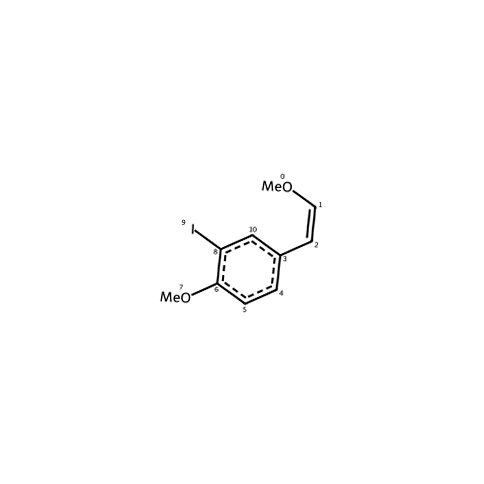 CO/C=C\c1ccc(OC)c(I)c1